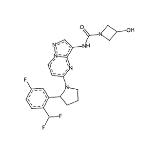 O=C(Nc1cnn2ccc(N3CCCC3c3cc(F)ccc3C(F)F)nc12)N1CC(O)C1